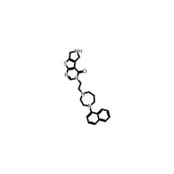 O=c1c2c3c(sc2ncn1CCN1CCCN(c2cccc4ccccc24)CC1)CNC3